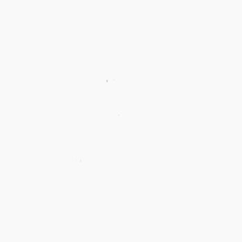 CCCCCCCCCCc1ccccc1C1(OC(F)F)C=CC(C(=O)O)C=C1